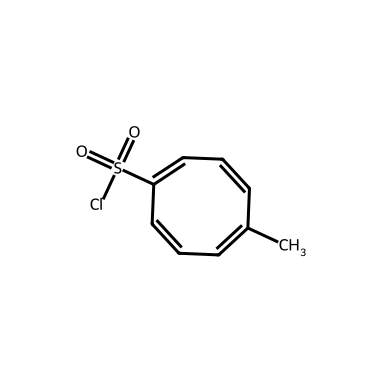 CC1=C/C=C\C(S(=O)(=O)Cl)=C/C=C\1